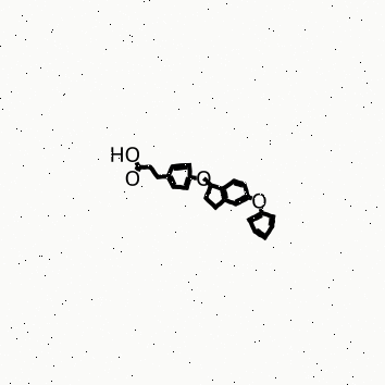 O=C(O)CCc1ccc(OC2CCc3cc(Oc4ccccc4)ccc32)cc1